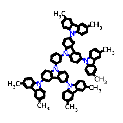 Cc1ccc2c(c1)c1cc(C)ccc1n2-c1ccc2c(c1)c1cc(-n3c4ccc(C)cc4c4cc(C)ccc43)ccc1n2-c1cccc(-n2c3ccc(-n4c5ccc(C)cc5c5cc(C)ccc54)cc3c3cc(-n4c5ccc(C)cc5c5cc(C)ccc54)ccc32)c1